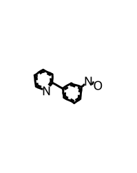 O=Nc1cccc(-c2ccccn2)c1